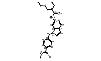 CCCCC(CC)C(=O)Nc1ccc2ccn(Cc3ccc(C(=O)OC)cc3)c2c1